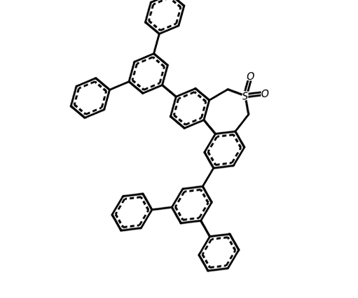 O=S1(=O)Cc2cc(-c3cc(-c4ccccc4)cc(-c4ccccc4)c3)ccc2-c2cc(-c3cc(-c4ccccc4)cc(-c4ccccc4)c3)ccc2C1